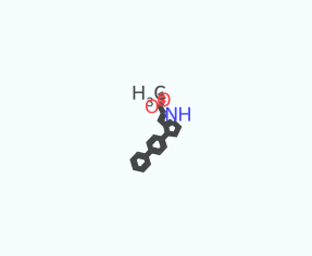 COC(=O)c1cc2c([nH]1)CCC2c1ccc(-c2ccccc2)cc1